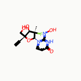 C#C[C@]1(CO)O[C@@H](n2ccc(=O)[nH]/c2=N\O)[C@](C)(F)[C@@H]1O